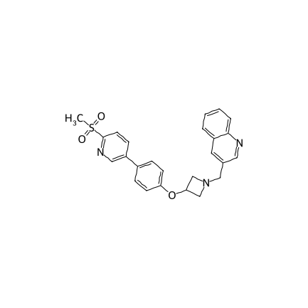 CS(=O)(=O)c1ccc(-c2ccc(OC3CN(Cc4cnc5ccccc5c4)C3)cc2)cn1